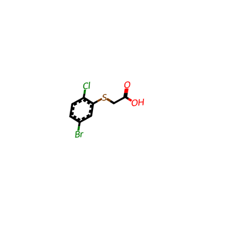 O=C(O)CSc1cc(Br)ccc1Cl